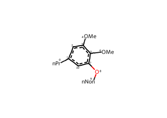 [CH2]CCc1cc(OC)c(OC)c(OCCCCCCCCC)c1